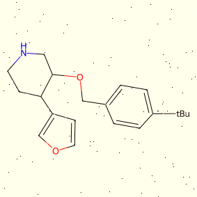 CC(C)(C)c1ccc(COC2CNCCC2c2ccoc2)cc1